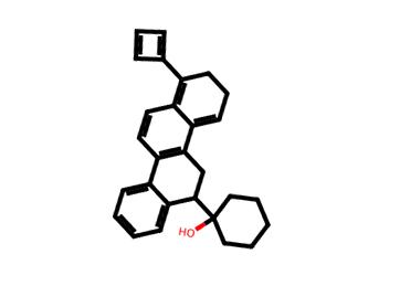 OC1(C2Cc3c(ccc4c3=CCCC=4C3=CC=C3)-c3ccccc32)CCCCC1